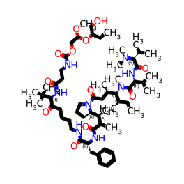 CCC(CO)OC(COC(=O)NCCC(=O)N[C@@H](C(=O)CCCCNC(=O)[C@@H](Cc1ccccc1)NC(=O)C(C)[C@H](C)[C@H]1CCCN1C(=O)C[C@H](C)[C@@H]([C@H](C)CC)N(C)C(=O)[C@H](NC(=O)[C@@H](C(C)C)N(C)C)C(C)C)C(C)(C)C)OC